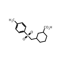 Cc1ccc(S(=O)(=O)CC2CCCC(C(=O)O)C2)cc1